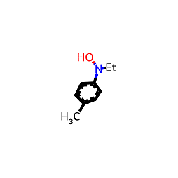 CCN(O)c1ccc(C)cc1